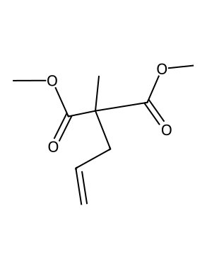 C=CCC(C)(C(=O)OC)C(=O)OC